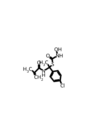 C=C(C)C(=O)NC(C)(SC(=O)NO)c1ccc(Cl)cc1